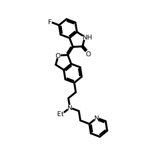 CCN(CCc1ccc2c(c1)COC2=C1C(=O)Nc2ccc(F)cc21)CCc1ccccn1